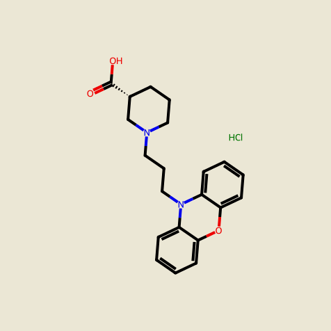 Cl.O=C(O)[C@@H]1CCCN(CCCN2c3ccccc3Oc3ccccc32)C1